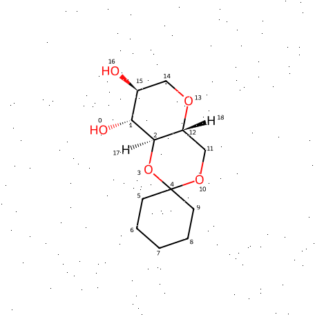 O[C@H]1[C@@H]2OC3(CCCCC3)OC[C@H]2O[CH][C@@H]1O